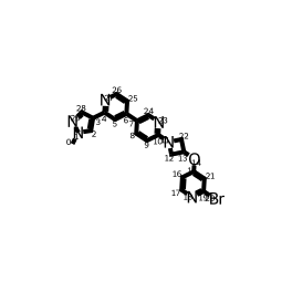 Cn1cc(-c2cc(-c3ccc(N4CC(Oc5ccnc(Br)c5)C4)nc3)ccn2)cn1